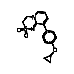 O=S1(=O)CCN2C=CC=C(c3ccc(OC4CC4)cc3)C2=N1